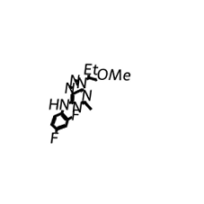 CCC(COC)n1nnc2c(Nc3ccc(F)cc3F)nc(C)nc21